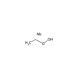 CCOO.[Nb]